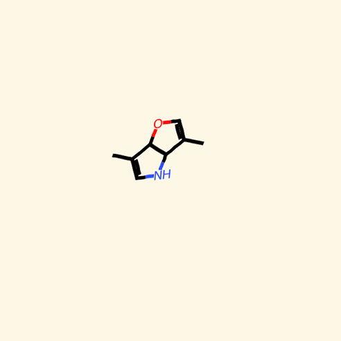 CC1=COC2C(C)=CNC12